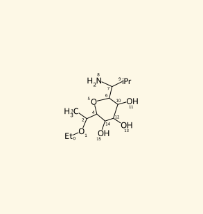 CCOC(C)C1OC(C(N)C(C)C)C(O)C(O)C1O